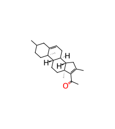 CC(=O)C1=C(C)C[C@H]2[C@@H]3CC=C4CC(C)CC[C@]4(C)[C@H]3CC[C@]12C